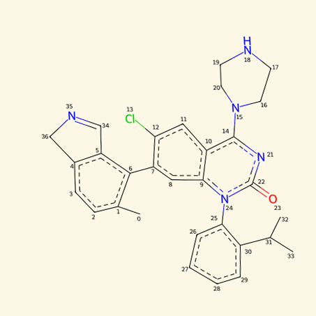 Cc1ccc2c(c1-c1cc3c(cc1Cl)c(N1CCNCC1)nc(=O)n3-c1ccccc1C(C)C)C=NC2